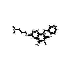 CN(C)CCCNc1nnc2c(n1)c(=O)n(C)c(=O)n2Cc1cccnc1